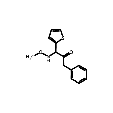 CONC(C(=O)Cc1ccccc1)c1cccs1